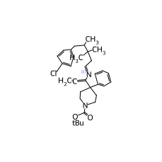 C=C=C(/N=C/CC(C)(C)C(C)Cc1ccc(Cl)cc1)C1(c2ccccc2)CCN(C(=O)OC(C)(C)C)CC1